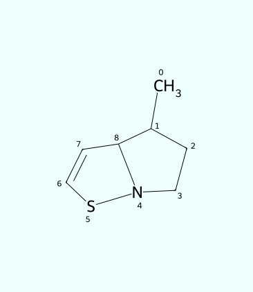 CC1CCN2SC=CC12